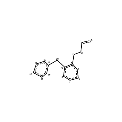 O=CCCc1ccccc1Cc1ccccc1